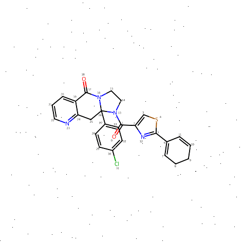 O=C(c1csc(C2=CCCC=C2)n1)N1CCN2C(=O)c3cccnc3CC12c1ccc(Cl)cc1